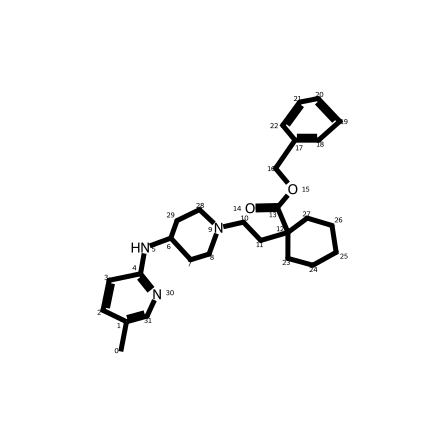 Cc1ccc(NC2CCN(CCC3(C(=O)OCc4ccccc4)CCCCC3)CC2)nc1